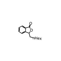 CCCCCCCC1OC(=O)c2ccccc21